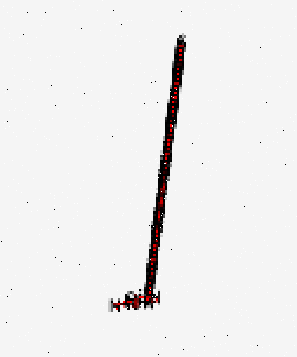 CN1CCC2=C(C1)S(=S=S=S=S=S=S=S=S=S=S=S=S=S=S=S=S=S=S=S=S=S=S=S=S=S=S=S=S=S=S=S=S=S=S=S=S=S=S=S=S=S=S=S=S=S=S=S=S=S=S=S=S=S=S=S=S=S=S=S=S=S=S=S=S=S=S=S=S=S=S=S=S=S=S=S=S=S=S=S=S=S=S=S=S=S=S=S=S=S=S=S=S=S=S=S=S=S=S=S=S=S=S=S=S=S=S=S=S=S=S)C(NC(=O)c1cccc([C@H]3CCCN3C(=O)c3ccc(-c4ccncc4)cc3)c1)=N2